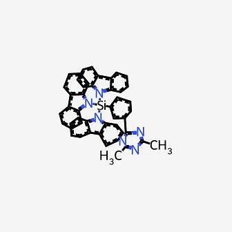 Cc1nc(C)nc(-c2cccc([Si](n3c4ccccc4c4ccccc43)(n3c4ccccc4c4ccccc43)n3c4ccccc4c4ccccc43)c2)n1